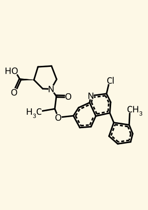 Cc1ccccc1-c1cc(Cl)nc2cc(OC(C)C(=O)N3CCC[C@H](C(=O)O)C3)ccc12